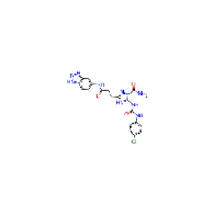 NC(=O)c1nc(CCC(=O)Nc2ccc3[nH]nnc3c2)[nH]c1NC(=O)Nc1ccc(Cl)cc1